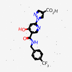 O=C(O)c1cnn(-c2cc(O)c(C(=O)NCc3ccc(C(F)(F)F)cc3)cn2)c1